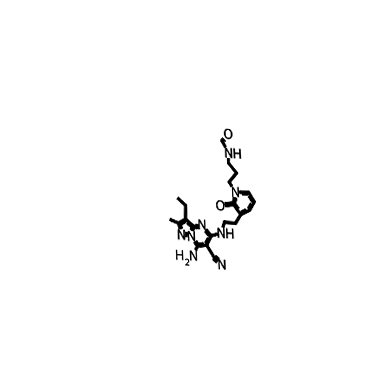 CCc1c(C)nn2c(N)c(C#N)c(NCCc3cccn(CCCNC=O)c3=O)nc12